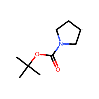 CC(C)(C)OC(=O)N1C[CH]CC1